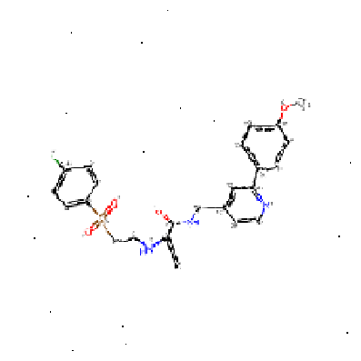 C=C(NCCS(=O)(=O)c1ccc(F)cc1)C(=O)NCc1ccnc(-c2ccc(OC(F)(F)F)cc2)c1